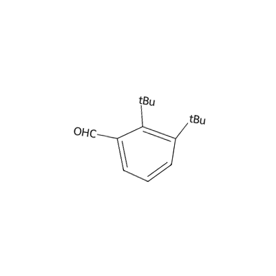 CC(C)(C)c1cccc(C=O)c1C(C)(C)C